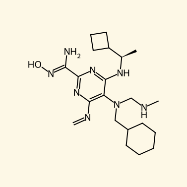 C=Nc1nc(/C(N)=N/O)nc(N[C@H](C)C2CCC2)c1N(CNC)CC1CCCCC1